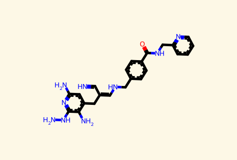 N=C/C(=C\NCc1ccc(C(=O)NCc2ccccn2)cc1)Cc1cc(N)nc(NN)c1N